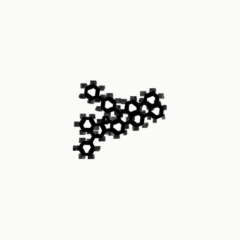 c1ccc(-c2ccc(-c3ccc4c(oc5c6ccccc6c(-c6ccccc6)cc45)c3N(c3ccc(-c4ccccc4)cc3)c3ccc(-c4ccccc4)cc3)cc2)cc1